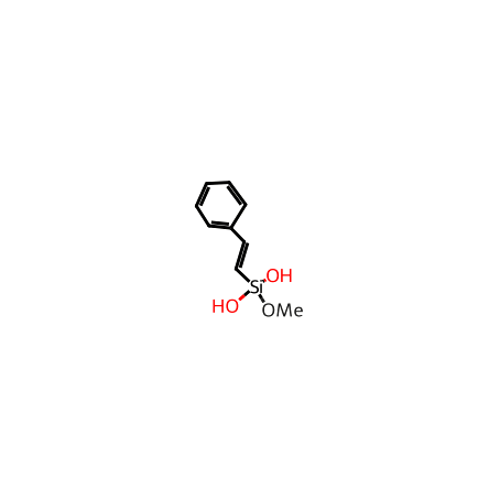 CO[Si](O)(O)C=Cc1ccccc1